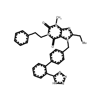 Cn1c(=O)n(CCc2ccccc2)c(=O)c2c1nc(CC(C)(C)C)n2Cc1ccc(-c2ccccc2-c2nnn[nH]2)cc1